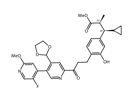 COC(=O)[C@@H](C)[C@H](c1ccc(CCC(=O)c2cc(C3OCCO3)c(-c3cc(OC)ncc3F)cn2)c(O)c1)C1CC1